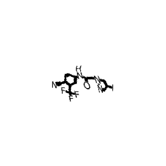 N#Cc1ccc(NC(=O)Cn2cc(I)cn2)cc1C(F)(F)F